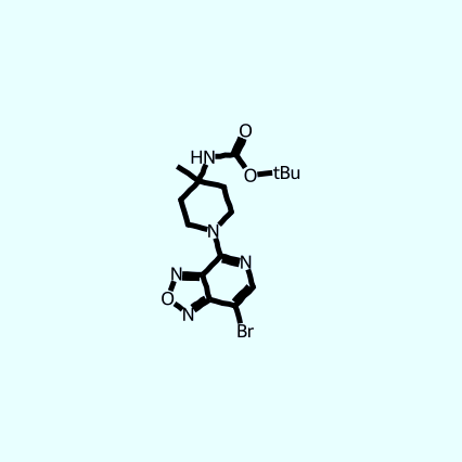 CC1(NC(=O)OC(C)(C)C)CCN(c2ncc(Br)c3nonc23)CC1